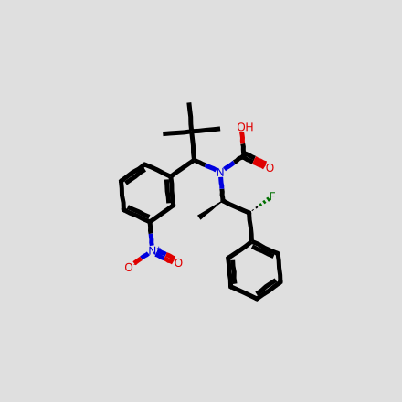 C[C@H]([C@H](F)c1ccccc1)N(C(=O)O)C(c1cccc([N+](=O)[O-])c1)C(C)(C)C